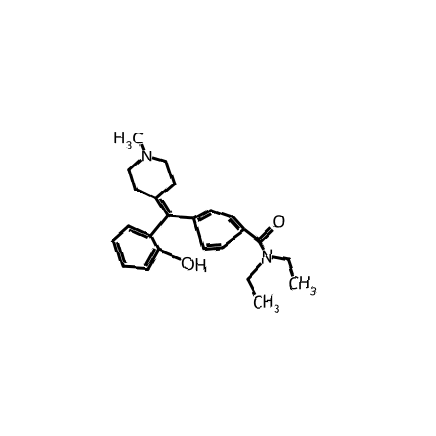 CCN(CC)C(=O)c1ccc(C(=C2CCN(C)CC2)c2ccccc2O)cc1